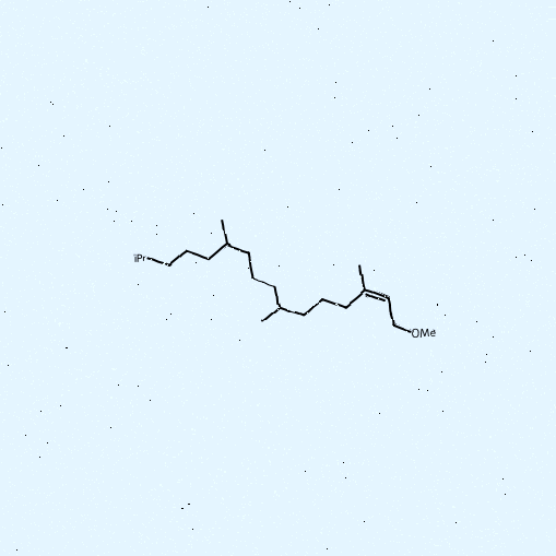 COCC=C(C)CCCC(C)CCCC(C)CCCC(C)C